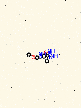 N=NC1C(=O)C2(CCC(Cc3ccc(OCc4ccccc4)cc3)(N=N)CC2)C(c2ccccc2)C1N=N